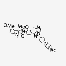 COc1cc(-c2nc([C@H]3CC[C@H](N4CCN(C(C)=O)CC4)CC3)n3ccnc(C)c23)ccc1NC(=O)c1cc2c(OC)cccc2n1C